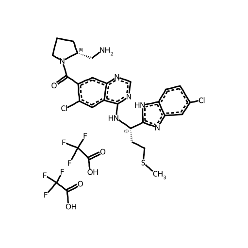 CSCC[C@H](Nc1ncnc2cc(C(=O)N3CCC[C@@H]3CN)c(Cl)cc12)c1nc2cc(Cl)ccc2[nH]1.O=C(O)C(F)(F)F.O=C(O)C(F)(F)F